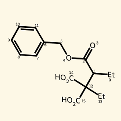 CCC(C(=O)OCc1ccccc1)C(CC)(C(=O)O)C(=O)O